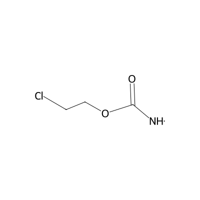 [NH]C(=O)OCCCl